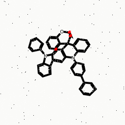 c1ccc(-c2ccc(N3c4ccccc4C4(c5ccccc5Oc5ccccc54)c4cc5c(cc43)c3ccccc3n5-c3ccccc3)cc2)cc1